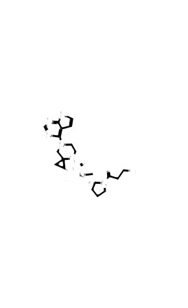 CN(C[C@H]1CCCN1C(=O)CCO)S(=O)(=O)N1CCN(c2ncnc3[nH]ccc23)CC12CC2